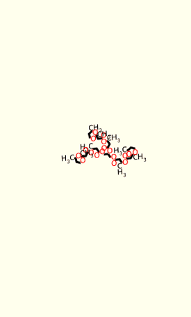 CC(CC(=O)OCC(COC(=O)CC(C)OC(=O)CC1(C)OCCC(C)O1)OC(=O)CC(C)OC(=O)CC1(C)OCCC(C)O1)OC(=O)CC1(C)OCCC(C)O1